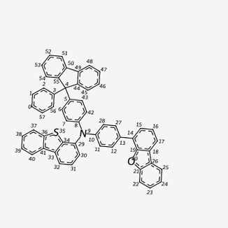 c1ccc(C2(c3ccc(N(c4ccc(-c5cccc6c5oc5ccccc56)cc4)c4cccc5c4sc4ccccc45)cc3)c3ccccc3-c3ccccc32)cc1